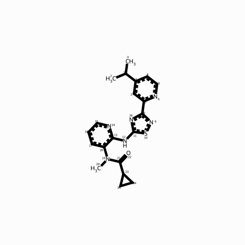 CC(C)c1ccnc(-c2nsc(Nc3ncccc3N(C)C(=O)C3CC3)n2)c1